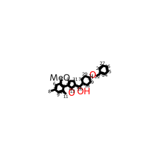 COC1=C(c2c(C)cc(C)cc2C)C(=O)C(C(O)C2CCC(OCc3ccccc3)CC2)C1